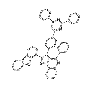 c1ccc(-c2cc(-c3ccc(-c4c(-c5cccc6c5sc5ccccc56)sc5c4c(-c4ccccc4)nc4ccccc45)cc3)nc(-c3ccccc3)n2)cc1